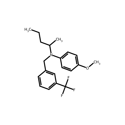 CCCC(C)N(Cc1cccc(C(F)(F)F)c1)c1ccc(OC)cc1